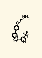 NCCCOc1ccc(-c2ccc3ncc(-c4cncc(C(F)(F)F)c4)n3n2)cc1